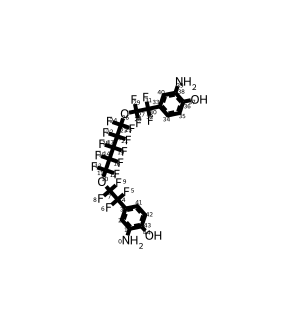 Nc1cc(C(F)(F)C(F)(F)OC(F)(F)C(F)(F)C(F)(F)C(F)(F)C(F)(F)OC(F)(F)C(F)(F)c2ccc(O)c(N)c2)ccc1O